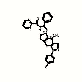 C[C@@H]1C2=C(CC[C@@H]2CC(NC(=O)c2ncccn2)c2ccccc2)Cc2c1cnn2-c1ccc(F)cc1